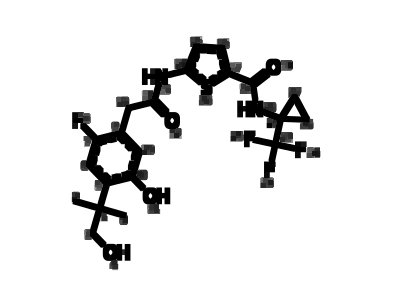 CC(C)(CO)c1cc(F)c(CC(=O)Nc2ccc(C(=O)NC3(C(F)(F)F)CC3)s2)cc1O